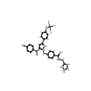 CC(c1ccc(Cl)cc1)c1cc(-c2ccc(OC(F)(F)F)cc2)nn1Cc1ccc(C(=O)NCc2nn[nH]n2)cc1